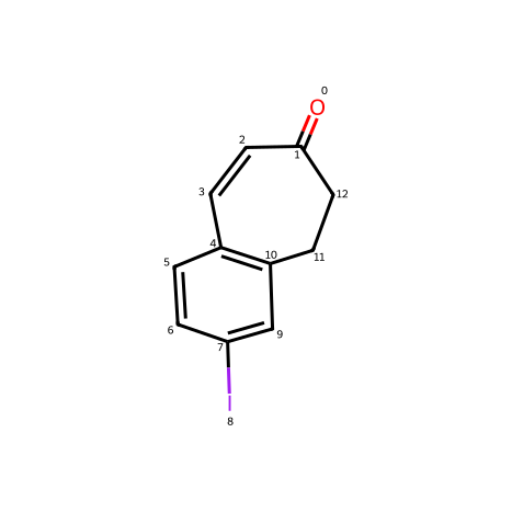 O=C1C=Cc2ccc(I)cc2CC1